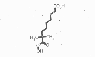 CC(C)(CCCCCCC(=O)O)C(=O)OO